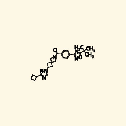 CC(C)(C)c1nc(-c2ccc(C(=O)N3CC4(CC(n5cnc(C6CCC6)n5)C4)C3)cc2)no1